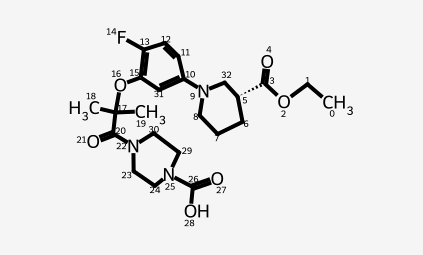 CCOC(=O)[C@@H]1CCCN(c2ccc(F)c(OC(C)(C)C(=O)N3CCN(C(=O)O)CC3)c2)C1